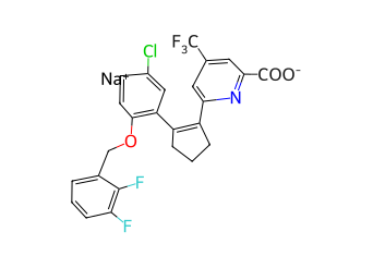 O=C([O-])c1cc(C(F)(F)F)cc(C2=C(c3cc(Cl)ccc3OCc3cccc(F)c3F)CCC2)n1.[Na+]